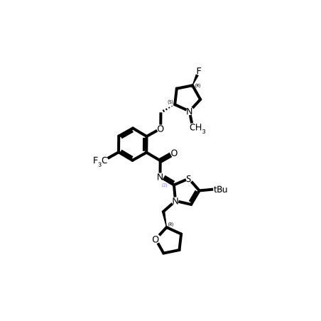 CN1C[C@H](F)C[C@H]1COc1ccc(C(F)(F)F)cc1C(=O)/N=c1\sc(C(C)(C)C)cn1C[C@H]1CCCO1